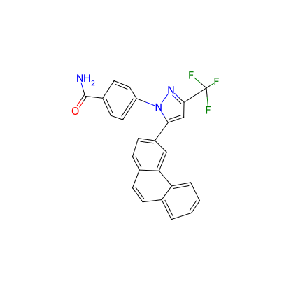 NC(=O)c1ccc(-n2nc(C(F)(F)F)cc2-c2ccc3ccc4ccccc4c3c2)cc1